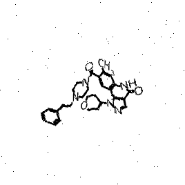 Cc1cc2[nH]c(=O)c3cnn(C4CCOCC4)c3c2cc1C(=O)N1CCN(CCc2ccccc2)CC1